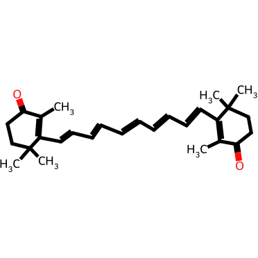 CC1=C(/C=C/C=C/C=C/C=C/C=C/C2=C(C)C(=O)CCC2(C)C)C(C)(C)CCC1=O